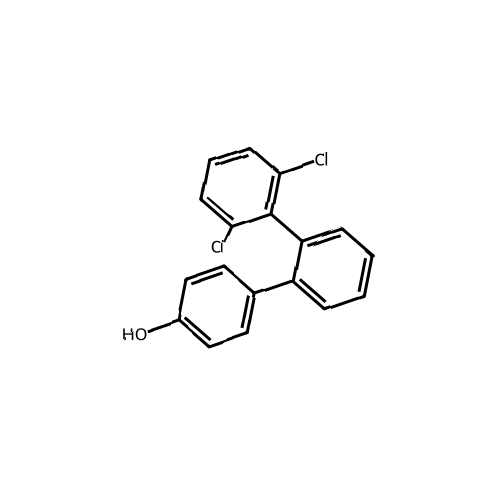 Oc1ccc(-c2ccccc2-c2c(Cl)cccc2Cl)cc1